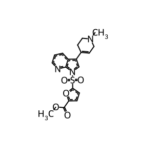 COC(=O)c1ccc(S(=O)(=O)n2cc(C3=CCN(C)CC3)c3cccnc32)o1